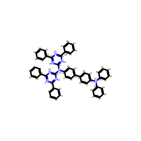 c1ccc(-c2nc(-c3ccccc3)nc(N(c3ccc(-c4ccc(N(c5ccccc5)c5ccccc5)cc4)cc3)c3nc(-c4ccccc4)nc(-c4ccccc4)n3)n2)cc1